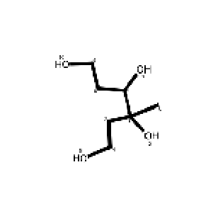 CC(O)(CCO)C(O)CCO